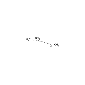 CCCC(N)CCCCCCCCC(N)CC